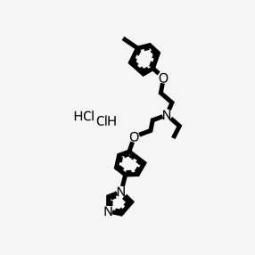 CCN(CCOc1ccc(C)cc1)CCOc1ccc(-n2ccnc2)cc1.Cl.Cl